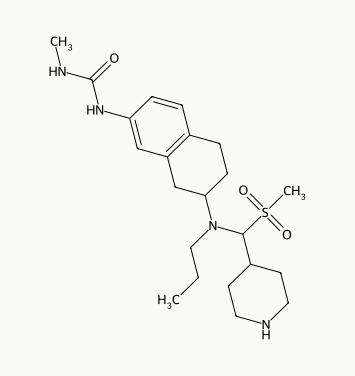 CCCN(C1CCc2ccc(NC(=O)NC)cc2C1)C(C1CCNCC1)S(C)(=O)=O